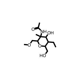 CCC1C(CO)OC(COC)C(C)(NC(C)=O)C1O